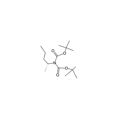 CCC[C@@H](C)N(C(=O)OC(C)(C)C)C(=O)OC(C)(C)C